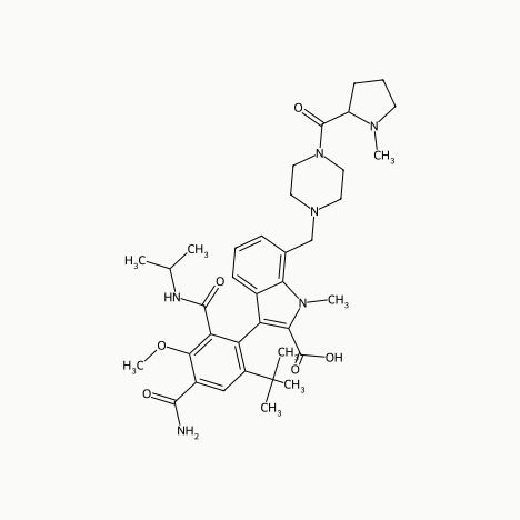 COc1c(C(N)=O)cc(C(C)(C)C)c(-c2c(C(=O)O)n(C)c3c(CN4CCN(C(=O)C5CCCN5C)CC4)cccc23)c1C(=O)NC(C)C